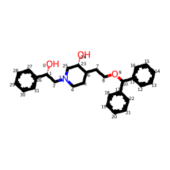 O[C@H](CN1CCC(CCOC(c2ccccc2)c2ccccc2)[C@@H](O)C1)c1ccccc1